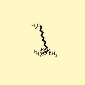 [CH2]CCCCCCCCC[Si](OC)(OC)OC